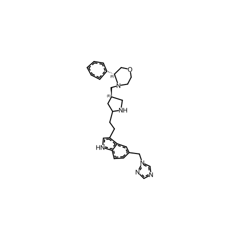 c1ccc([C@@H]2COCCN2C[C@H]2CNC(CCc3c[nH]c4ccc(Cn5cncn5)cc34)C2)cc1